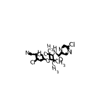 CC1(C)[C@H](NC(=O)c2cnc(Cl)cn2)C(C)(C)[C@H]1Oc1ccc(C#N)c(Cl)c1